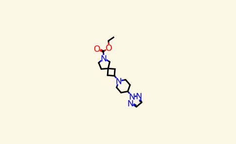 CCOC(=O)N1CCC2(CC(N3CCC(n4nccn4)CC3)C2)C1